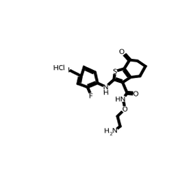 Cl.NCCONC(=O)c1c(Nc2ccc(I)cc2F)sc2c1CCCC2=O